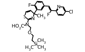 CC1(c2cc(C=C(F)c3ccc(Cl)cn3)ccc2F)C=CSC(N(COCC[Si](C)(C)C)C(=O)O)=N1